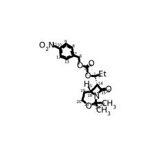 CCC(OC(=O)OCc1ccc([N+](=O)[O-])cc1)[C@@H]1C(=O)N2[C@@H]1CCOC2(C)C